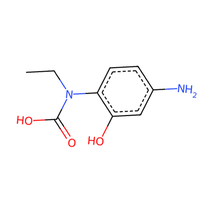 CCN(C(=O)O)c1ccc(N)cc1O